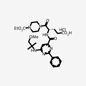 CCOC(=O)N1CCN(C(=O)[C@H](CCC(=O)O)NC(=O)c2cc(NC(C)(C)COC)nc(-c3ccccc3)n2)CC1.Cl